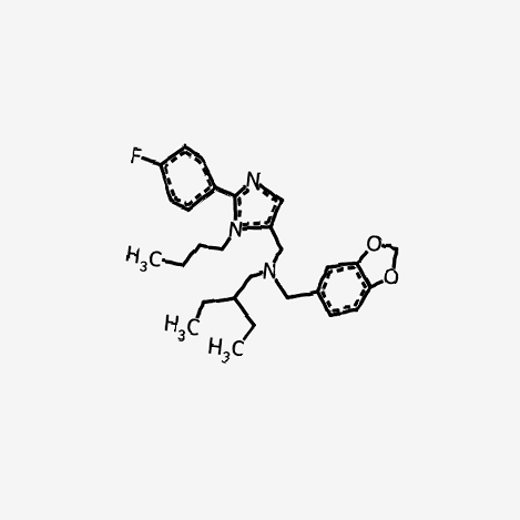 CCCCn1c(CN(Cc2ccc3c(c2)OCO3)CC(CC)CC)cnc1-c1ccc(F)cc1